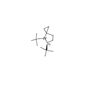 CC(C)(C)[C@@H]1CCC2(CC2)N1C(C)(C)C